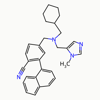 Cn1cncc1CN(Cc1ccc(C#N)c(-c2cccc3ccccc23)c1)CC1CCCCC1